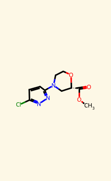 COC(=O)[C@@H]1CN(c2ccc(Cl)nn2)CCO1